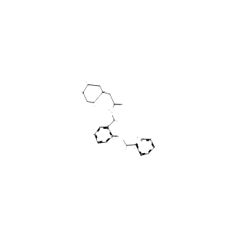 CC(CC1CCCCC1)NCc1ccccc1OCc1ccccn1